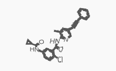 Cc1cc(C#Cc2ccccc2)cnc1NC(=O)c1cc(NC(=O)C2CC2)ccc1Cl